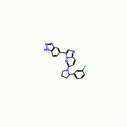 Fc1cccc(C2CCCN2c2ccc3ncc(-c4ccc5[nH]ncc5c4)n3n2)c1